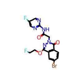 O=C(Cn1nc(OCCF)c2cc(Br)ccc2c1=O)Nc1ncc(F)cn1